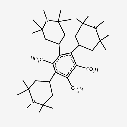 CN1C(C)(C)CC(c2c(C(=O)O)c(C(=O)O)c(C3CC(C)(C)N(C)C(C)(C)C3)c(C3CC(C)(C)N(C)C(C)(C)C3)c2C(=O)O)CC1(C)C